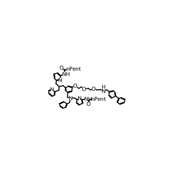 CCCCCC(=O)Nc1cccc(CC(Cc2cc(CN(Cc3ccccc3)Cc3cccc(NC(=O)CCCCC)n3)cc(OCCOCCOCCNCc3ccc(-c4ccccc4)cc3)c2)Cc2ccccn2)n1